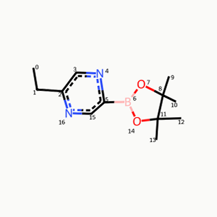 CCc1cnc(B2OC(C)(C)C(C)(C)O2)cn1